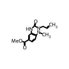 C=CCN1C(=O)Nc2cc(C(=O)OC)ccc2N1C